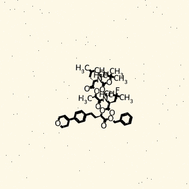 CC(C)C[C@@H](C(=O)O[C@H](C)C(=O)N(C)[C@@H](CC(C)(C)F)C(=O)O[C@H](CCc1ccc(C2=CCOCC2)cc1)C(=O)OCc1ccccc1)N(C)C(=O)OC(C)(C)C